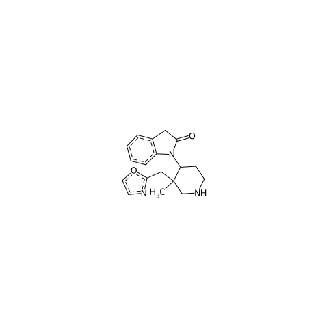 CC1(Cc2ncco2)CNCCC1N1C(=O)Cc2ccccc21